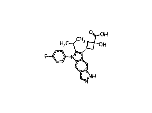 CC(C)c1c([C@H]2C[C@](O)(C(=O)O)C2)c2cc3[nH]ncc3cc2n1-c1ccc(F)cc1